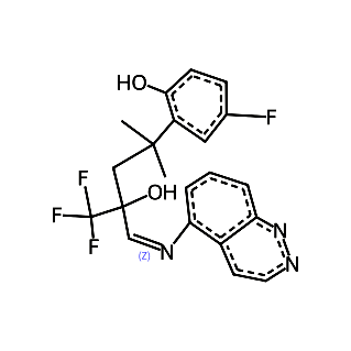 CC(C)(CC(O)(/C=N\c1cccc2nnccc12)C(F)(F)F)c1cc(F)ccc1O